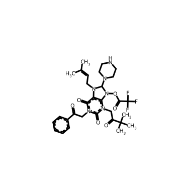 CC(C)=CCN1c2c(n(CC(=O)C(C)(C)C)c(=O)n(CC(=O)c3ccccc3)c2=O)N(OC(=O)C(F)(F)F)C1N1CCNCC1